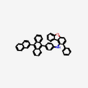 c1ccc(-c2ccc3oc4ccccc4c3c2Nc2ccc(-c3c4ccccc4c(-c4ccc5ccccc5c4)c4ccccc34)cc2)cc1